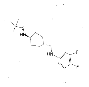 CC(C)(C)SN[C@H]1CC[C@H](CNc2ccc(F)c(F)c2)CC1